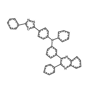 c1ccc(-c2nnc(-c3ccc(N(c4ccccc4)c4cccc(-c5nc6ccccc6nc5-c5ccccc5)c4)cc3)o2)cc1